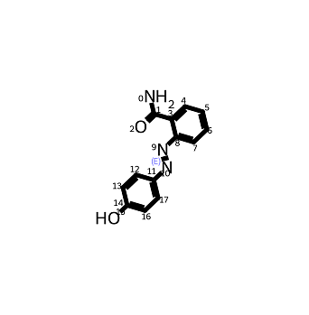 NC(=O)c1ccccc1/N=N/c1ccc(O)cc1